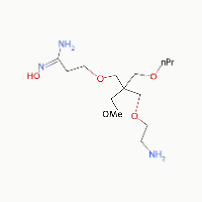 CCCOCC(COC)(COCCN)COCC/C(N)=N\O